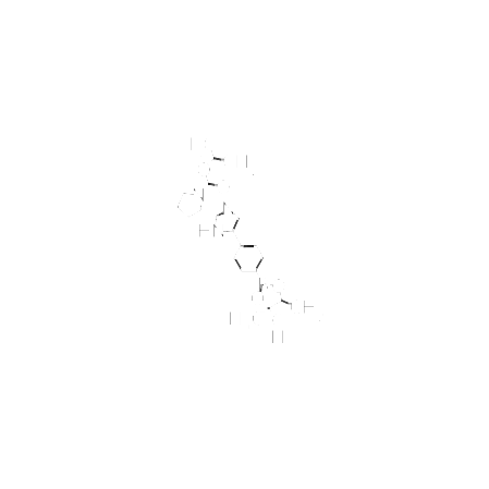 C=C(C)OC(=O)N1CCC[C@H]1c1ncc(-c2ccc(B3OC(=C)C(C)(C)O3)cc2)[nH]1